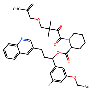 C=C(C=O)COCC(C)(C)C(=O)C(=O)N1CCCC[C@H]1C(=O)O[C@H](CCc1cnc2ccccc2c1)c1cc(F)cc(OCC(C)=O)c1